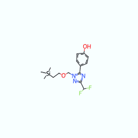 C[Si](C)(C)CCOCn1nc(C(F)F)nc1-c1ccc(O)cc1